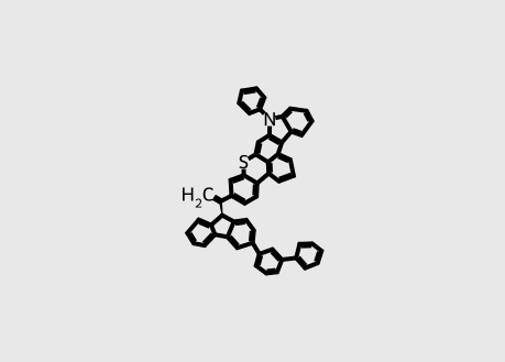 C=C(c1ccc2c(c1)Sc1cc3c(c4cccc-2c14)c1ccccc1n3-c1ccccc1)[C@@H]1c2ccccc2-c2cc(-c3cccc(-c4ccccc4)c3)ccc21